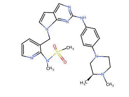 C[C@H]1CN(c2ccc(Nc3ncc4ccn(Cc5cccnc5N(C)S(C)(=O)=O)c4n3)cc2)CCN1C